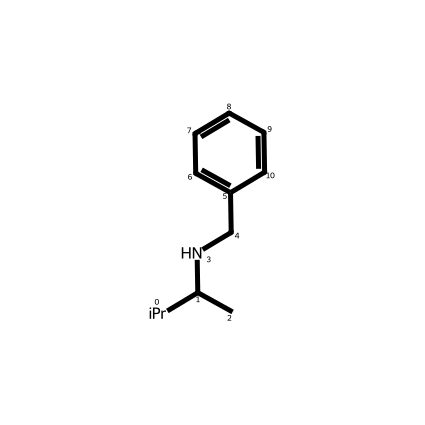 CC(C)C(C)NCc1c[c]ccc1